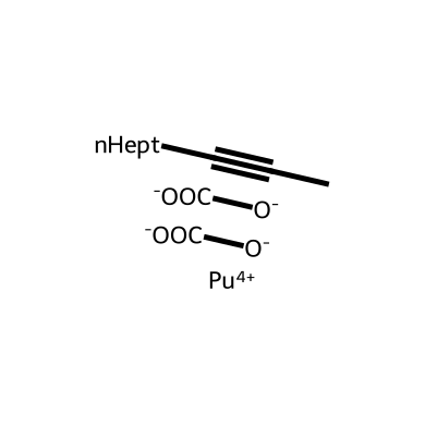 CC#CCCCCCCC.O=C([O-])[O-].O=C([O-])[O-].[Pu+4]